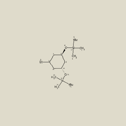 CCC1C[C@@H](O[Si](C)(C)C(C)(C)C)C[C@H](O[Si](C)(C)C(C)(C)C)C1